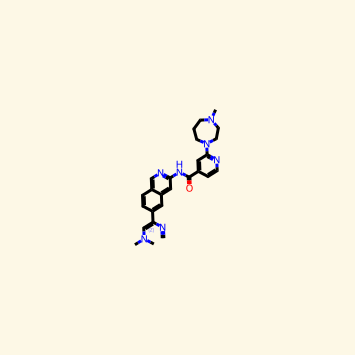 C=N/C(=C\N(C)C)c1ccc2cnc(NC(=O)c3ccnc(N4CCCN(C)CC4)c3)cc2c1